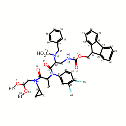 CCOC(CN(C(=O)C(C)N(C(=O)C(CNC(=O)OCC1c2ccccc2-c2ccccc21)N(Cc1ccccc1)C(=O)O)c1ccc(F)c(F)c1)C1CC1)OCC